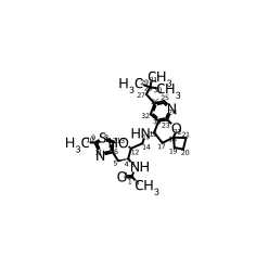 CC(=O)N[C@@H](Cc1csc(C)n1)[C@@H](O)CN[C@H]1CC2(CCC2)Oc2ncc(CC(C)(C)C)cc21